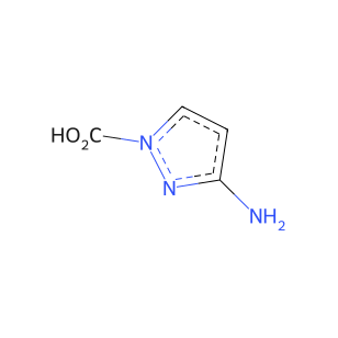 Nc1ccn(C(=O)O)n1